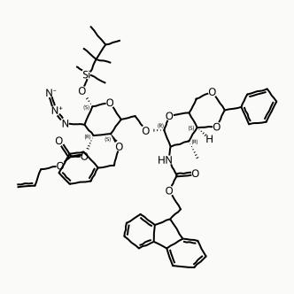 C=CCOC(=O)O[C@@H]1C(N=[N+]=[N-])[C@H](O[Si](C)(C)C(C)(C)C(C)C)OC(CO[C@@H]2OC3COC(c4ccccc4)O[C@H]3[C@H](C)C2NC(=O)OCC2c3ccccc3-c3ccccc32)[C@H]1OCc1ccccc1